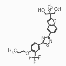 CCCOc1ccc(-c2nc(-c3ccc4oc(C(N)(CO)CO)cc4c3)no2)cc1C(F)(F)F